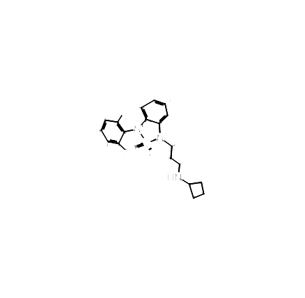 O=S1(=O)N(CCCNC2CCC2)c2ccccc2N1c1c(F)cccc1F